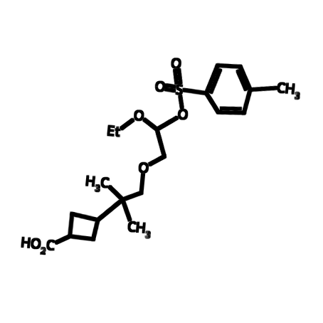 CCOC(COCC(C)(C)C1CC(C(=O)O)C1)OS(=O)(=O)c1ccc(C)cc1